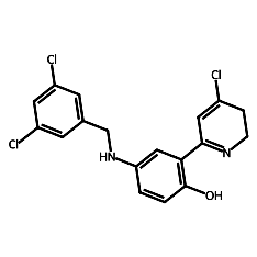 Oc1ccc(NCc2cc(Cl)cc(Cl)c2)cc1C1=NCCC(Cl)=C1